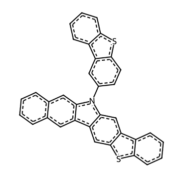 c1ccc2cc3c(cc2c1)c1cc2sc4ccccc4c2cc1n3-c1ccc2sc3ccccc3c2c1